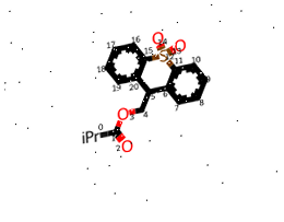 CC(C)C(=O)OCC1c2ccccc2S(=O)(=O)c2ccccc21